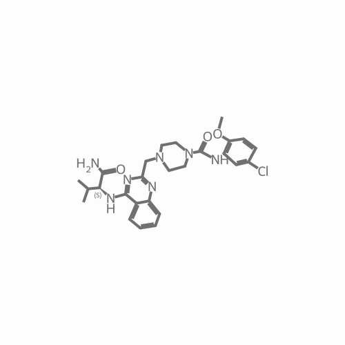 COc1ccc(Cl)cc1NC(=O)N1CCN(Cc2nc(N[C@H](C(N)=O)C(C)C)c3ccccc3n2)CC1